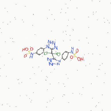 O=S(=O)(O)Nc1ccc(-n2nnnc2C(Cl)(Cl)c2nnnn2-c2ccc(NS(=O)(=O)O)cc2)cc1